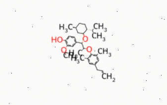 C=CCc1cc(C)c(OC(C)C(O[C@H]2C[C@@H](C)CC[C@@H]2C(C)C)c2ccc(O)c(OC)c2)c(C)c1